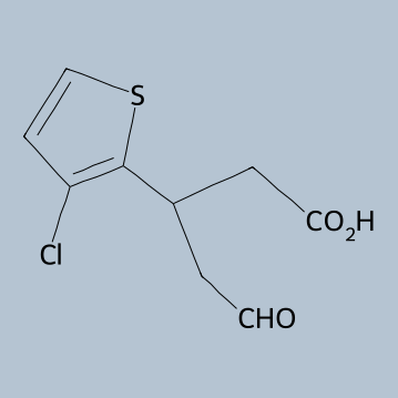 O=CCC(CC(=O)O)c1sccc1Cl